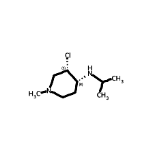 CC(C)N[C@@H]1CCN(C)C[C@@H]1Cl